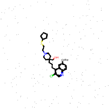 COc1ccc2ncc(Cl)c(CCCC3(CO)CCN(CCSC4CCCC4)CC3)c2c1